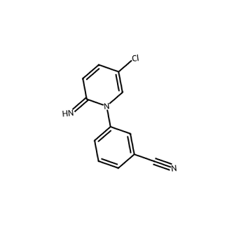 N#Cc1cccc(-n2cc(Cl)ccc2=N)c1